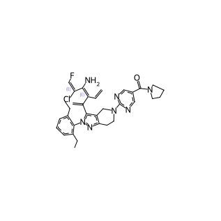 C=C/C(C(=C)c1c2c(nn1-c1c(CC)cccc1CC)CCN(c1ncc(C(=O)N3CCCC3)cn1)C2)=C(N)/C(Cl)=C\F